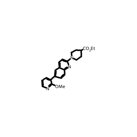 CCOC(=O)C1CCN(c2ccc3cc(-c4cccnc4OC)ccc3n2)CC1